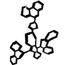 c1ccc2c(c1)cc(-c1c3ccccc3c(-c3cc4ccccc4c4ccccc34)c3cc(-c4ccc(-c5cc6ccccc6c6ncccc56)cc4)ccc13)c1ccccc12